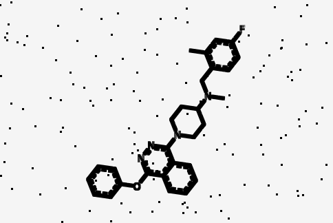 Cc1cc(F)ccc1CN(C)C1CCN(c2nnc(Oc3ccccc3)c3ccccc23)CC1